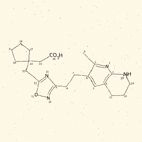 Cc1nc2c(cc1CCc1noc(CC3(CC(=O)O)CCCC3)n1)CCCN2